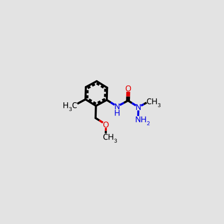 COCc1c(C)cccc1NC(=O)N(C)N